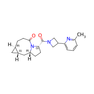 Cc1cccc(C2CN(C(=O)[C@@H]3CC[C@@H]4C[C@@H]5C[C@H]5CCC(=O)N43)C2)n1